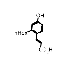 CCCCCCc1cc(O)ccc1C=CC(=O)O